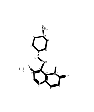 Cl.Cn1c(=O)ccc2ncc(F)c(OC[C@H]3CC[C@H](N)CC3)c21